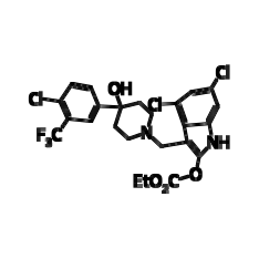 CCOC(=O)Oc1[nH]c2cc(Cl)cc(Cl)c2c1CN1CCC(O)(c2ccc(Cl)c(C(F)(F)F)c2)CC1